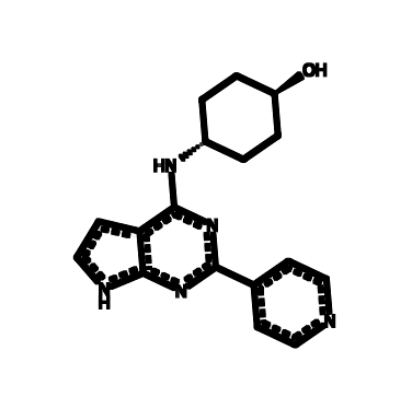 O[C@H]1CC[C@H](Nc2nc(-c3ccncc3)nc3[nH]ccc23)CC1